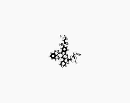 CNC(=O)OC(C)C(=O)NC(C(=O)N1Cc2ccc(NC(=O)CCN)cc2[C@H]1C(=O)Nc1c(F)cccc1F)C1CCOCC1